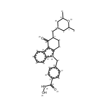 CC1CN(CC2CCc3c(c4ccccc4n3Cc3ccc(C(=O)NO)cc3)C2=O)CC(C)O1